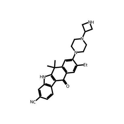 CCc1cc2c(cc1N1CCN(C3CNC3)CC1)C(C)(C)c1[nH]c3cc(C#N)ccc3c1C2=O